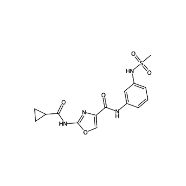 CS(=O)(=O)Nc1cccc(NC(=O)c2coc(NC(=O)C3CC3)n2)c1